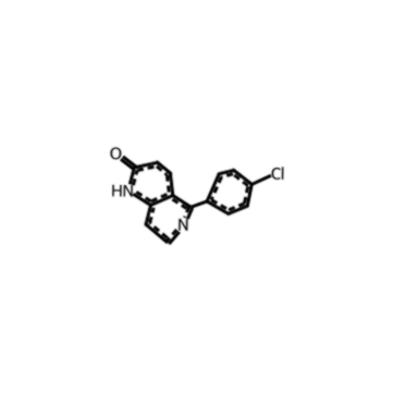 O=c1ccc2c(-c3ccc(Cl)cc3)nccc2[nH]1